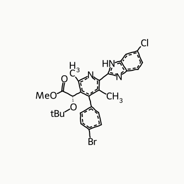 COC(=O)[C@@H](OC(C)(C)C)c1c(C)nc(-c2nc3ccc(Cl)cc3[nH]2)c(C)c1-c1ccc(Br)cc1